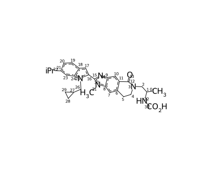 CC(CN1CCc2cc3c(cc2C1=O)nc(-c1cc2ccc(C(C)C)cc2n1CC1CC1)n3C)NC(=O)O